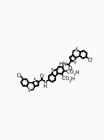 O=C(Nc1ccc2c(c1)sc1cc(NC(=O)c3cc4c(s3)-c3cc(Cl)ccc3SC4)c(C(=O)O)c(C(=O)O)c12)c1cc2c(s1)-c1cc(Cl)ccc1SC2